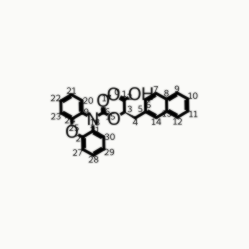 O=C(O)[C@@H](Cc1ccc2ccccc2c1)OC(=O)N1c2ccccc2Oc2ccccc21